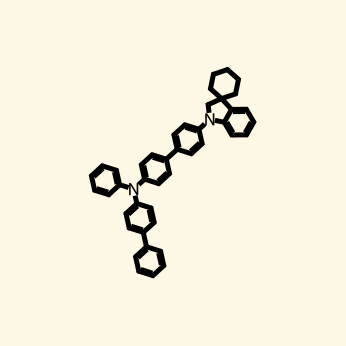 c1ccc(-c2ccc(N(c3ccccc3)c3ccc(-c4ccc(N5CC6(CCCCC6)c6ccccc65)cc4)cc3)cc2)cc1